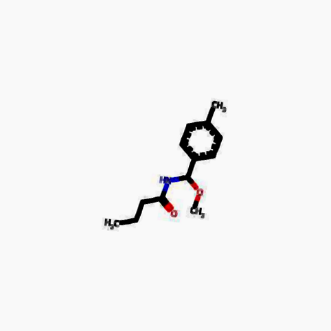 CCCC(=O)NC(OC)c1ccc(C)cc1